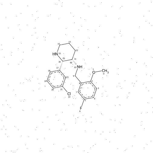 COc1ccc(F)cc1CN[C@H]1CCCN[C@H]1c1cccc(Cl)c1